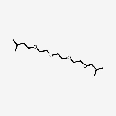 CC(C)CCOCCOCCOCCOCC(C)C